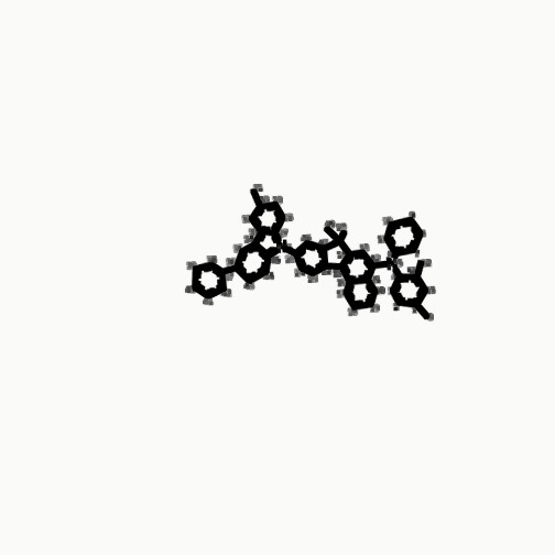 Cc1ccc(N(c2ccccc2)c2cc3c(c4ccccc24)-c2ccc(-n4c5ccc(C)cc5c5cc(-c6ccccc6)ccc54)cc2C3(C)C)c(C)c1